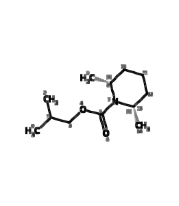 CC(C)COC(=O)N1[C@H](C)CCC[C@@H]1C